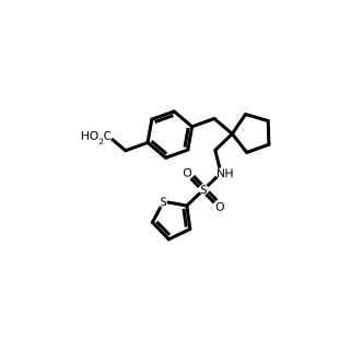 O=C(O)Cc1ccc(CC2(CNS(=O)(=O)c3cccs3)CCCC2)cc1